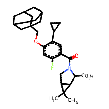 CC1(C)C2CN(C(=O)c3cc(C4CC4)c(OCC45CC6CC(CC(C6)C4)C5)cc3F)C(C(=O)O)C21